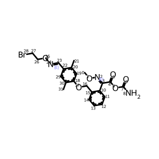 CO/N=C(/C(=O)OC(N)=O)c1ccccc1COc1cc(C)c(/C=N/OCCBr)cc1C